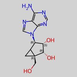 Nc1ncnc2c1ncn2[C@@H]1C2C[C@@]2(CO)[C@@H](O)[C@H]1O